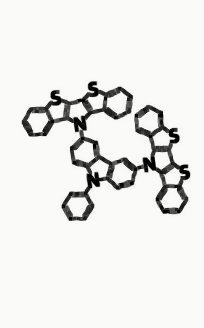 c1ccc(-n2c3ccc(-n4c5c6ccccc6sc5c5sc6ccccc6c54)cc3c3cc(-n4c5c6ccccc6sc5c5sc6ccccc6c54)ccc32)cc1